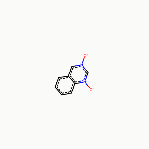 [O-][n+]1cc2ccccc2[n+]([O-])c1